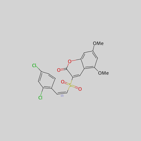 COc1cc(OC)c2cc(S(=O)(=O)/C=C\c3ccc(Cl)cc3Cl)c(=O)oc2c1